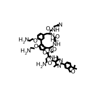 Cc1nc(-c2ccc3c(c2)COC3(C)C)nc(C)c1C(=O)N[C@@H](CCN)C(=O)N(C)[C@@H]1C(=O)N[C@@H](C)C(=O)N[C@H](C(=O)NCC#N)Cc2ccc(OCCN)c(c2)-c2cc1ccc2OCCN